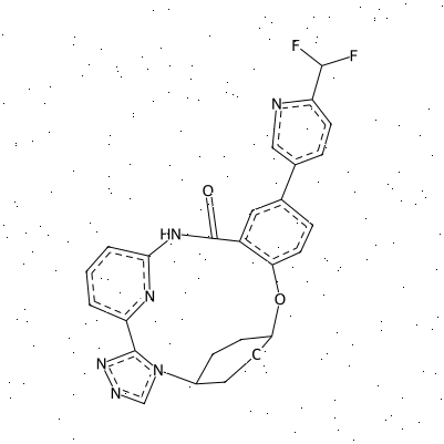 O=C1Nc2cccc(n2)-c2nncn2C2CCC(CC2)Oc2ccc(-c3ccc(C(F)F)nc3)cc21